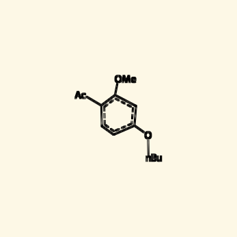 CCCCOc1ccc(C(C)=O)c(OC)c1